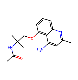 CC(=O)NC(C)(C)COc1cccc2nc(C)cc(N)c12